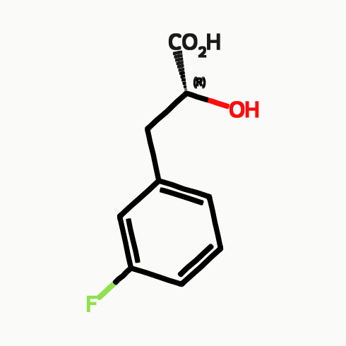 O=C(O)[C@H](O)Cc1cccc(F)c1